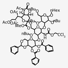 CCCCCCO[C@@H]1OC(COCCCC)[C@H](OCCCC)C(O[C@@H]2OC(CO[C@]3(C(=O)OC)C[C@H]4OC(=O)N(C(C)=O)[C@H]4C([C@H](OC(C)=O)[C@@H](COC(C)=O)OC(C)=O)O3)[C@@H](OCCCC)C(O[C@@H]3OC4COC(c5ccccc5)OC4C(OC(=O)c4ccccc4)[C@@H]3OC(=O)c3ccccc3)[C@@H]2NC(=O)OCC(Cl)(Cl)Cl)[C@@H]1OCCCC